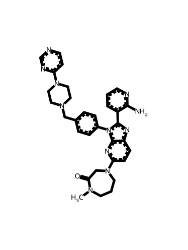 CN1CCCN(c2ccc3nc(-c4cccnc4N)n(-c4ccc(CN5CCN(c6ccncn6)CC5)cc4)c3n2)CC1=O